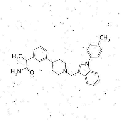 Cc1ccc(-n2cc(CN3CCC(c4cccc(C(C)C(N)=O)c4)CC3)c3ccccc32)cc1